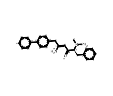 CN(P)[C@@H](Cc1ccccc1)C(=O)/C=C(\N)Cc1ccc(-c2ccccc2)cc1